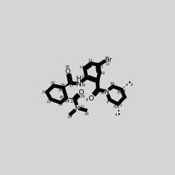 C[C@@H]1C[C@H](C)CN(C(=O)c2cc(Br)ccc2NC(=O)[C@@H]2CCCC[C@H]2C(=O)N(C)C)C1